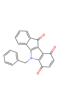 O=c1ccc(=O)c2c1c1c(=O)c3ccccc3c1n2Cc1ccccc1